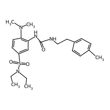 CCN(CC)S(=O)(=O)c1ccc(N(C)C)c(NC(=O)NCCc2ccc(C)cc2)c1